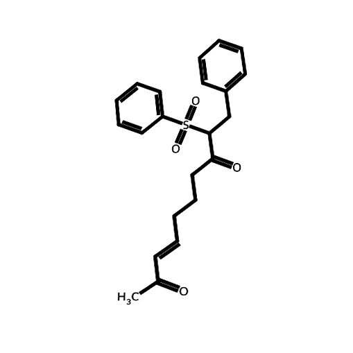 CC(=O)/C=C/CCCC(=O)C(Cc1ccccc1)S(=O)(=O)c1ccccc1